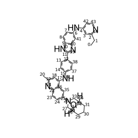 CCc1cc(Nc2ccc3[nH]c(-c4ccc(Nc5cc(C)nc6ccc(N7C[C@H]8CCC[C@@H](C7)O8)cc56)cc4)nc3c2)ccn1